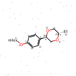 CCCCCCOc1ccc([C@@H]2CO[C@@H](CC)CO2)cc1